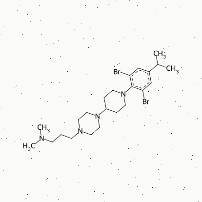 CC(C)c1cc(Br)c(N2CCC(N3CCN(CCCN(C)C)CC3)CC2)c(Br)c1